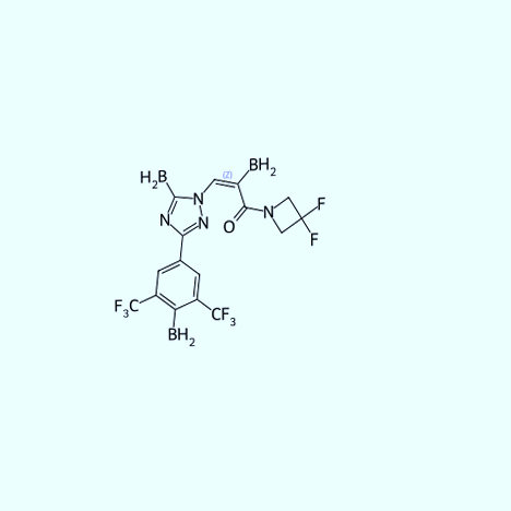 B/C(=C/n1nc(-c2cc(C(F)(F)F)c(B)c(C(F)(F)F)c2)nc1B)C(=O)N1CC(F)(F)C1